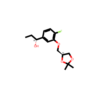 CC[C@@H](O)c1ccc(F)c(OC[C@H]2COC(C)(C)O2)c1